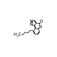 CCCCCc1cccc2c1=C1N=NC=C1C(=O)N=2